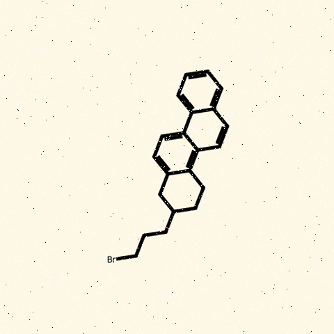 BrCCCC1CCc2c(ccc3c2ccc2ccccc23)C1